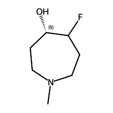 CN1CCC(F)[C@@H](O)CC1